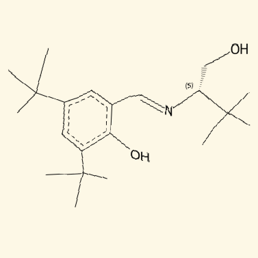 CC(C)(C)c1cc(C=N[C@H](CO)C(C)(C)C)c(O)c(C(C)(C)C)c1